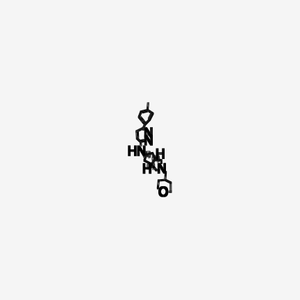 Cc1ccc(-c2ccc(N[C@H]3C[C@@H]4CN(CC5CCOCC5)C[C@@H]4C3)nn2)cc1